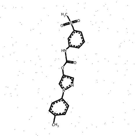 Cc1ccc(-n2cc(OC(=O)Nc3cccc(S(C)(=O)=O)c3)cn2)cc1